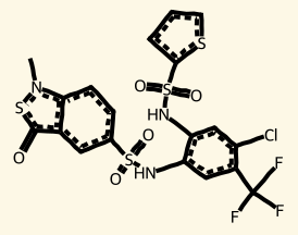 Cn1sc(=O)c2cc(S(=O)(=O)Nc3cc(C(F)(F)F)c(Cl)cc3NS(=O)(=O)c3cccs3)ccc21